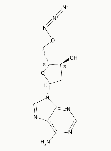 [N-]=[N+]=NOC[C@H]1O[C@@H](n2cnc3c(N)ncnc32)C[C@@H]1O